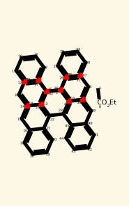 CCOC(C)=O.c1ccc(P(c2ccccc2)c2ccc3ccccc3c2-c2c(P(c3ccccc3)c3ccccc3)ccc3ccccc23)cc1